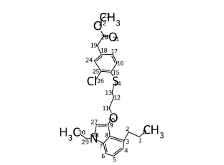 CCCc1cccc2c1c(OCCCSc1ccc(CC(=O)OC)cc1Cl)cn2CC